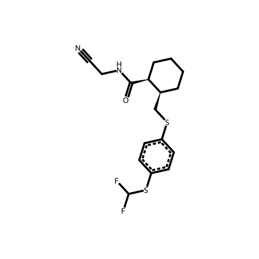 N#CCNC(=O)[C@H]1CCCC[C@H]1CSc1ccc(SC(F)F)cc1